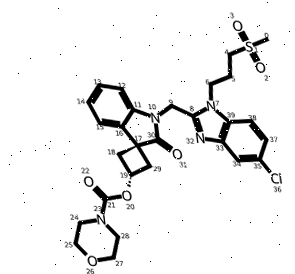 CS(=O)(=O)CCCn1c(CN2c3ccccc3[C@]3(C[C@@H](OC(=O)N4CCOCC4)C3)C2=O)nc2cc(Cl)ccc21